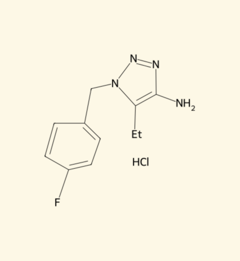 CCc1c(N)nnn1Cc1ccc(F)cc1.Cl